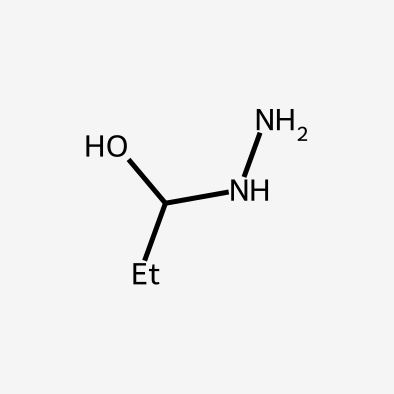 CCC(O)NN